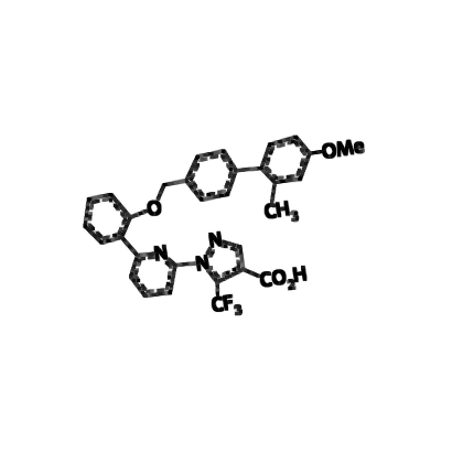 COc1ccc(-c2ccc(COc3ccccc3-c3cccc(-n4ncc(C(=O)O)c4C(F)(F)F)n3)cc2)c(C)c1